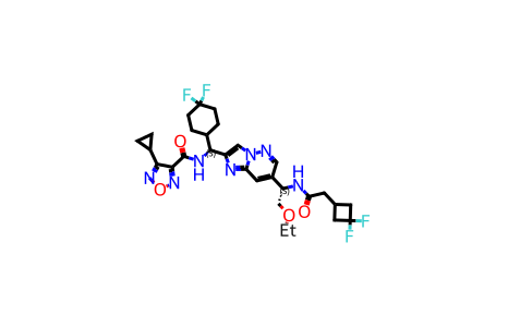 CCOC[C@@H](NC(=O)CC1CC(F)(F)C1)c1cnn2cc([C@@H](NC(=O)c3nonc3C3CC3)C3CCC(F)(F)CC3)nc2c1